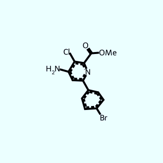 COC(=O)c1nc(-c2ccc(Br)cc2)cc(N)c1Cl